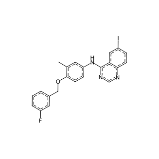 Cc1cc(Nc2ncnc3ccc(I)cc23)ccc1OCc1cccc(F)c1